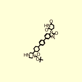 Cn1c(=O)n(C2CCC(=O)NC2=O)c2ccc(-c3ccc(C4CCC(C5CNCCN5C(=O)OC(C)(C)C)CC4)cc3)cc21